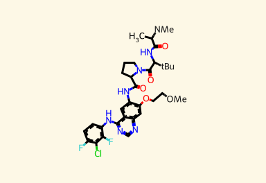 CNC(C)C(=O)NC(C(=O)N1CCCC1C(=O)Nc1cc2c(Nc3ccc(F)c(Cl)c3F)ncnc2cc1OCCOC)C(C)(C)C